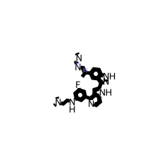 C=N/C=N\C=C(/C)c1ccc2[nH]nc(-c3cc4c(-c5cc(F)cc(NCCN(C)C)c5)nccc4[nH]3)c2c1